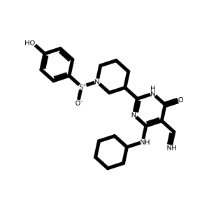 N=Cc1c(NC2CCCCC2)nc(C2CCCN([S+]([O-])c3ccc(O)cc3)C2)[nH]c1=O